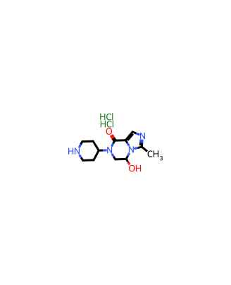 Cc1ncc2n1C(O)CN(C1CCNCC1)C2=O.Cl.Cl